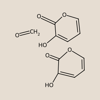 C=O.O=c1occcc1O.O=c1occcc1O